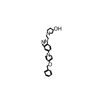 O[C@@H]1CCN(CCn2ncc3cc(N4C=CC(OCc5ccccc5)=CC4)ccc32)C1